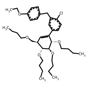 CCCCOC[C@H]1C=C(c2ccc(Cl)c(Cc3ccc(OCC)cc3)c2)[C@H](OCCCC)[C@@H](OCCCC)[C@@H]1OCCCC